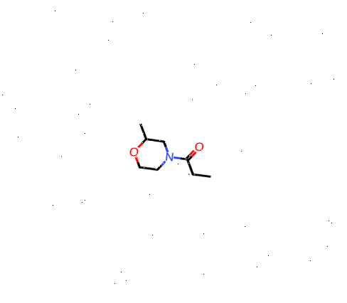 C[CH]C(=O)N1CCOC(C)C1